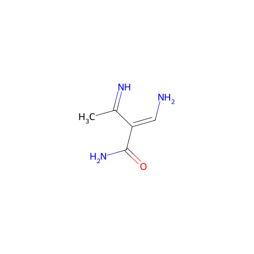 CC(=N)/C(=C\N)C(N)=O